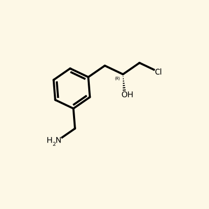 NCc1cccc(C[C@@H](O)CCl)c1